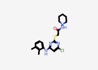 Cc1cccc(Nc2cc(Cl)nc(SCC(=O)NN3CCCCC3)n2)c1C